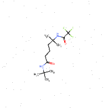 CC(C)(C)NC(=O)CCCC(C)(C)NC(=O)C(F)(F)F